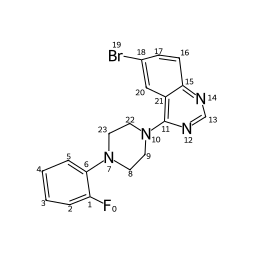 Fc1ccccc1N1CCN(c2ncnc3ccc(Br)cc23)CC1